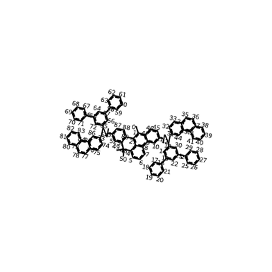 Cc1c2c3c(cccc3c3cc(N(c4cc(-c5ccccc5)cc(-c5ccccc5)c4)c4ccc5ccc6ccccc6c5c4)ccc13)C(C)(C)c1cc(N(c3cc(-c4ccccc4)cc(-c4ccccc4)c3)c3ccc4ccc5ccccc5c4c3)ccc1-2